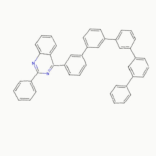 c1ccc(-c2cccc(-c3cccc(-c4cccc(-c5cccc(-c6nc(-c7ccccc7)nc7ccccc67)c5)c4)c3)c2)cc1